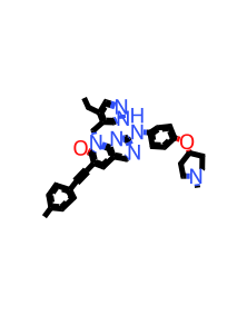 CCc1cnncc1Cn1c(=O)c(C#Cc2ccc(C)cc2)cc2cnc(Nc3ccc(OC4CCN(C)CC4)cc3)nc21